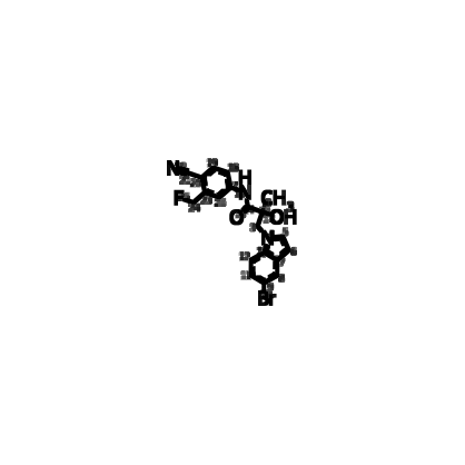 C[C@](O)(Cn1ccc2cc(Br)ccc21)C(=O)Nc1ccc(C#N)c(CF)c1